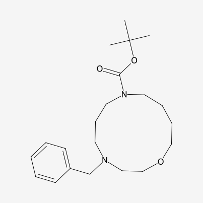 CC(C)(C)OC(=O)N1CCCCOCCN(Cc2ccccc2)CCC1